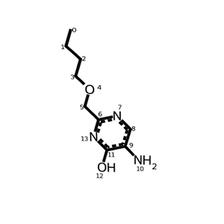 CCCCOCc1ncc(N)c(O)n1